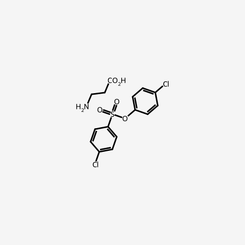 NCCC(=O)O.O=S(=O)(Oc1ccc(Cl)cc1)c1ccc(Cl)cc1